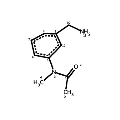 CC(=O)N(C)c1cccc(CN)c1